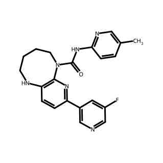 Cc1ccc(NC(=O)N2CCCCNc3ccc(-c4cncc(F)c4)nc32)nc1